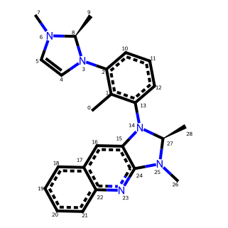 Cc1c(N2C=CN(C)[C@H]2C)cccc1N1c2cc3ccccc3nc2N(C)[C@@H]1C